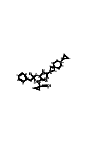 C#CC1(NC(=O)[C@H](CC(F)(F)Cc2ccccn2)NC(=O)N2CC3(CCN(C4CC4)CC3)C2)CC1